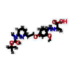 COc1cc(OCCc2cccc(N(C)C(=O)OC(C)(C)C)n2)ccc1CNC(C)C(=O)O